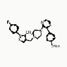 COc1ccc(-c2nccnc2N2CCN(Cc3cnn(-c4ccc(F)cc4)c3C)CC2)cc1